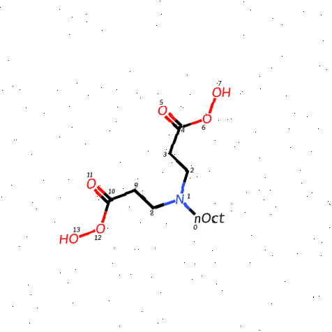 CCCCCCCCN(CCC(=O)OO)CCC(=O)OO